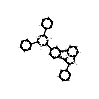 c1ccc(-c2nc(-c3ccccc3)nc(-c3ccc4c(c3)c3cccc5nc(-c6ccccc6)c4n53)n2)cc1